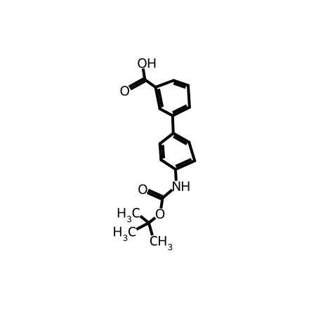 CC(C)(C)OC(=O)Nc1ccc(-c2cccc(C(=O)O)c2)cc1